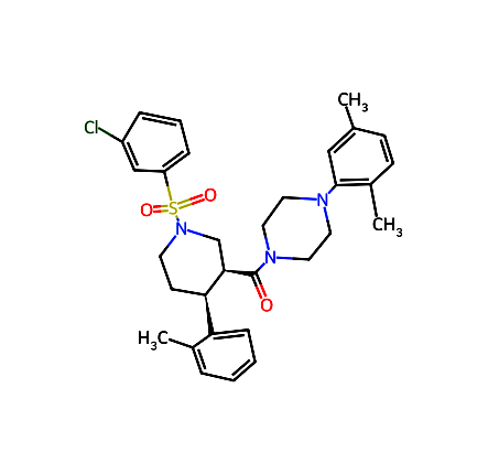 Cc1ccc(C)c(N2CCN(C(=O)[C@@H]3CN(S(=O)(=O)c4cccc(Cl)c4)CC[C@@H]3c3ccccc3C)CC2)c1